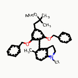 CCN1CCc2c1ccc(C)c2-c1c(OCc2ccccc2)cc(CC(C)(C)OC)cc1OCc1ccccc1